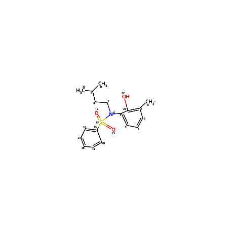 [CH2]c1cccc(N(CCC(C)C)S(=O)(=O)c2ccccc2)c1O